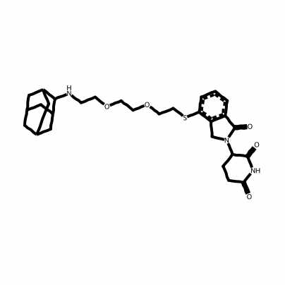 O=C1CCC(N2Cc3c(SCCOCCOCCNC4C5CC6CC(C5)CC4C6)cccc3C2=O)C(=O)N1